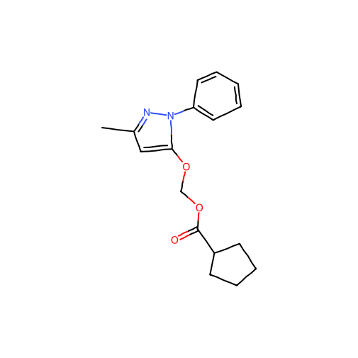 Cc1cc(OCOC(=O)C2CCCC2)n(-c2ccccc2)n1